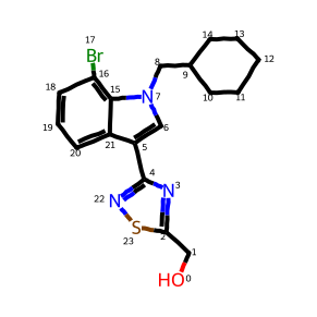 OCc1nc(-c2cn(CC3CCCCC3)c3c(Br)cccc23)ns1